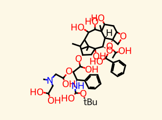 CC(O)O[C@@]12COC1CC(O)C1(C)C(O)C(O)C3C(C)[C@@H](OC(O)[C@H](OC(O)CN(C)CC(O)O)[C@@H](NC(O)OC(C)(C)C)c4ccccc4)CC(O)([C@@H](OC(O)c4ccccc4)[C@@H]12)C3(C)C